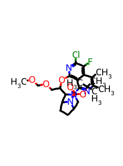 COCOCC1Oc2nc(Cl)c(F)c3c(C)c(C)nc(c23)N2CC3CCC(C12)N3C(=O)OC(C)(C)C